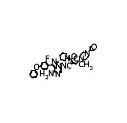 CC(C)(/C=C(/C#N)C(=O)N1CCC[C@@H](c2nc(-c3ccc(Oc4ccccc4)cc3F)c3c(N)nccn23)C1)N1CCN(C2COC2)CC1